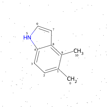 [CH2]c1ccc2[nH]ccc2c1C